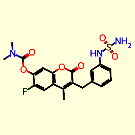 Cc1c(Cc2cccc(NS(N)(=O)=O)c2)c(=O)oc2cc(OC(=O)N(C)C)c(F)cc12